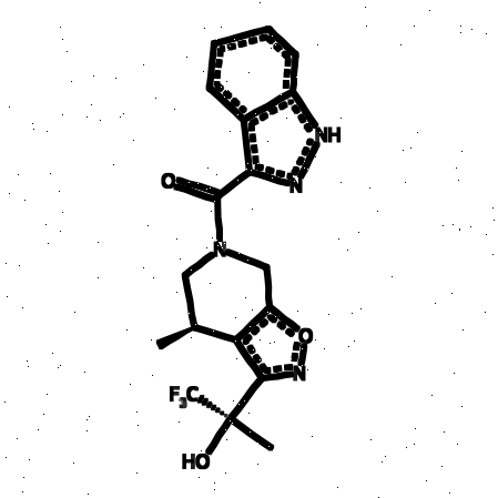 C[C@H]1CN(C(=O)c2n[nH]c3ccccc23)Cc2onc([C@@](C)(O)C(F)(F)F)c21